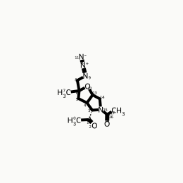 CC(=O)[C@@H]1C2CC(C)(CN=[N+]=[N-])OC2CN1C(C)=O